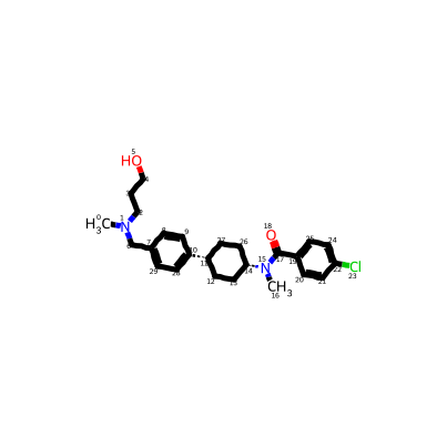 CN(CCCO)Cc1ccc([C@H]2CC[C@@H](N(C)C(=O)c3ccc(Cl)cc3)CC2)cc1